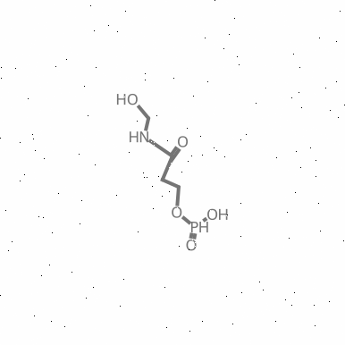 O=C(CCO[PH](=O)O)NCO